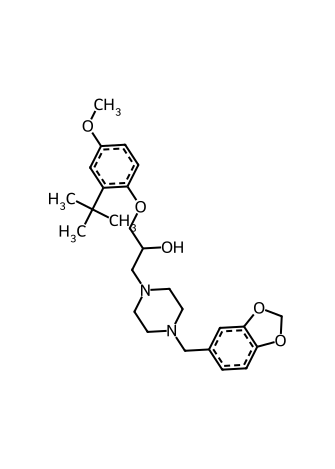 COc1ccc(OCC(O)CN2CCN(Cc3ccc4c(c3)OCO4)CC2)c(C(C)(C)C)c1